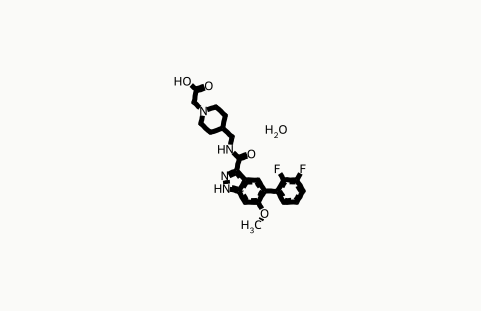 COc1cc2[nH]nc(C(=O)NCC3CCN(CC(=O)O)CC3)c2cc1-c1cccc(F)c1F.O